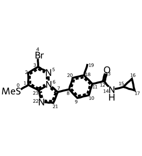 CSc1cc(Br)nn2c(-c3ccc(C(=O)NC4CC4)c(C)c3)cnc12